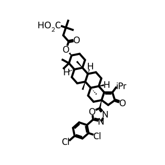 CC(C)C1=C2[C@H]3CC[C@@H]4[C@@]5(C)CC[C@H](OC(=O)CC(C)(C)C(=O)O)C(C)(C)[C@@H]5CC[C@@]4(C)[C@]3(C)CC[C@@]2(c2nnc(-c3ccc(Cl)cc3Cl)o2)CC1=O